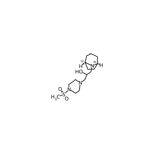 CS(=O)(=O)N1CCN(CC(O)CN2[C@@H]3C[CH]C[C@H]2CC3)CC1